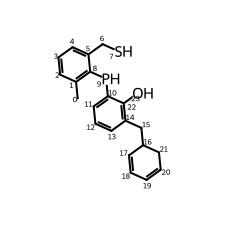 Cc1cccc(CS)c1Pc1cccc(CC2C=CC=CC2)c1O